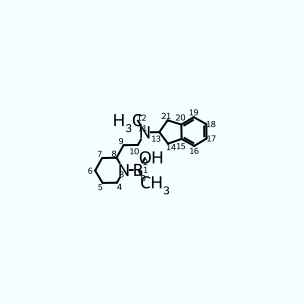 CB(O)N1CCCCC1CCN(C)C1Cc2ccccc2C1